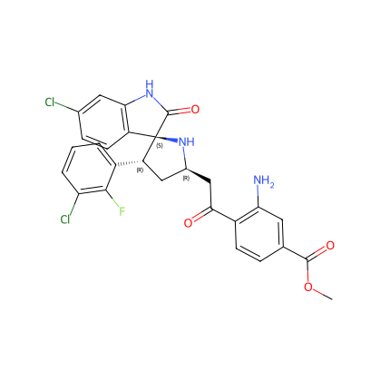 COC(=O)c1ccc(C(=O)C[C@H]2C[C@H](c3cccc(Cl)c3F)[C@@]3(N2)C(=O)Nc2cc(Cl)ccc23)c(N)c1